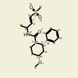 CO[C@@H]1CCN(C(=O)NC(C)/C=C/S(C)(=O)=O)[C@H](c2ccccc2)C1